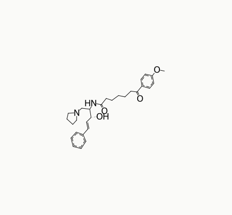 COc1ccc(C(=O)CCCCCC(=O)NC(CN2CCCC2)[C@H](O)/C=C/c2ccccc2)cc1